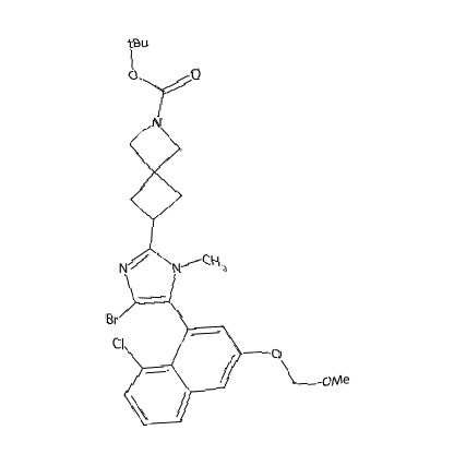 COCOc1cc(-c2c(Br)nc(C3CC4(C3)CN(C(=O)OC(C)(C)C)C4)n2C)c2c(Cl)cccc2c1